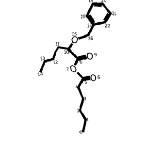 CCCCCC(=O)OC(=O)C(CCCC)OCc1ccccc1